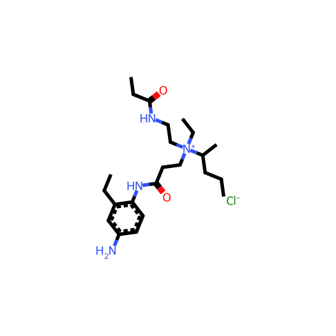 CCCC(C)[N+](CC)(CCNC(=O)CC)CCC(=O)Nc1ccc(N)cc1CC.[Cl-]